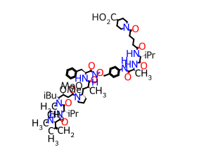 C=C(C)[C@@H](C(=O)N[C@H](C(=O)N(C)[C@@H]([C@@H](C)CC)[C@@H](CC(=O)N1CCC[C@H]1[C@H](OC)[C@@H](C)C(=O)N[C@@H](Cc1ccccc1)C(=O)NOCc1ccc(NC(=O)[C@@H](C)NC(=O)[C@H](NC(=O)CCCC(=O)N2CCC(C(=O)O)CC2)C(C)C)cc1)OC)C(C)C)N(C)C